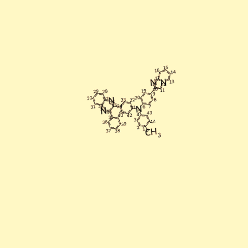 Cc1ccc(N(c2ccc(-c3cn4ccccc4n3)cc2)c2ccc(-c3nc4ccccc4nc3-c3ccccc3)cc2)cc1